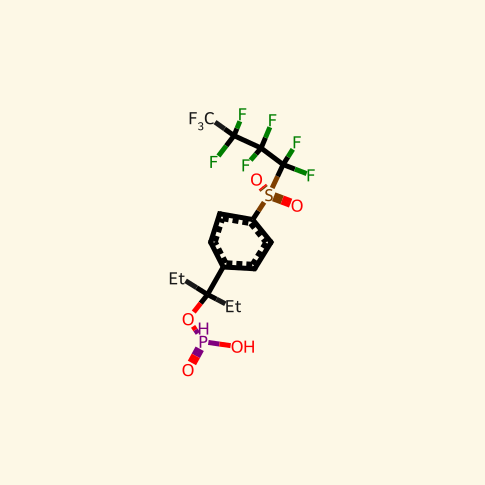 CCC(CC)(O[PH](=O)O)c1ccc(S(=O)(=O)C(F)(F)C(F)(F)C(F)(F)C(F)(F)F)cc1